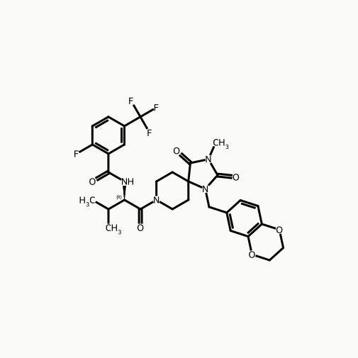 CC(C)[C@@H](NC(=O)c1cc(C(F)(F)F)ccc1F)C(=O)N1CCC2(CC1)C(=O)N(C)C(=O)N2Cc1ccc2c(c1)OCCO2